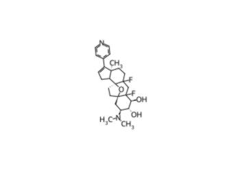 CN(C)[C@H]1C[C@@]23CC[C@]4(O2)C2CC=C(c5ccncc5)[C@@]2(C)CCC4(F)CC3(F)[C@@H](O)[C@@H]1O